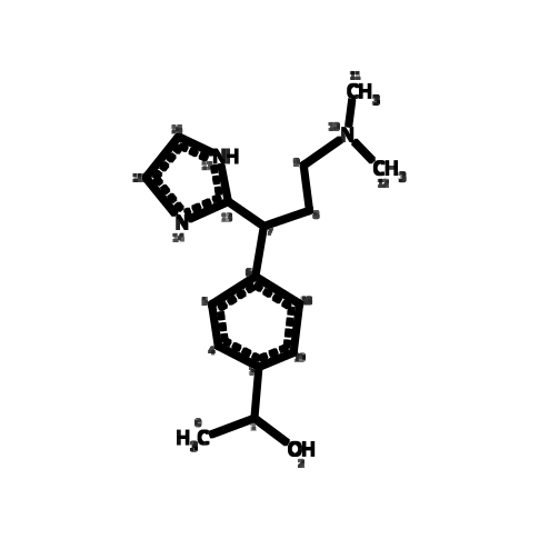 CC(O)c1ccc(C(CCN(C)C)c2ncc[nH]2)cc1